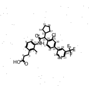 Cc1c(CCC(=O)O)cccc1NC(=O)C(c1ccc(-c2cncc(C(F)(F)F)c2)cc1Cl)C1CCCC1